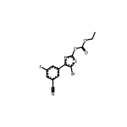 CCOC(=O)Oc1nc(-c2cc(F)cc(C#N)c2)c(Br)s1